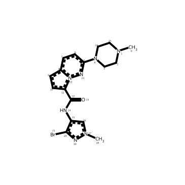 CN1CCN(c2ccc3ccc(C(=O)Nc4cn(C)nc4Br)n3n2)CC1